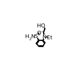 CCN(CCO)c1ccccc1[S+](N)[O-]